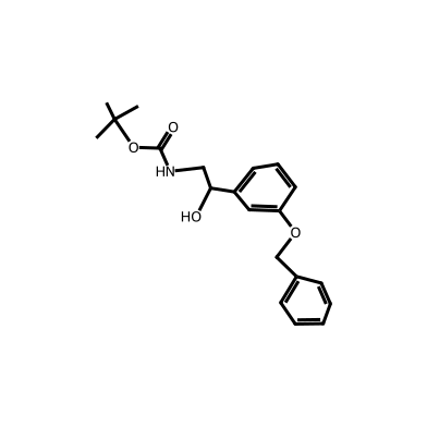 CC(C)(C)OC(=O)NCC(O)c1cccc(OCc2ccccc2)c1